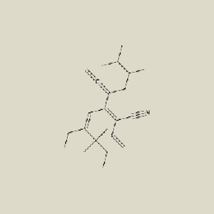 C=C=C(CC(C)C(C)C)C(/C=C(/CC)C(C)(C)CC)=C(\C#N)C=C